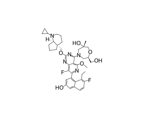 CCc1c(F)ccc2cc(O)cc(-c3nc(OC)c4c(N5C[C@H](CO)OC[C@@](C)(O)C5)nc(OC[C@]56CCC[C@H]5N(C5CC5)CCC6)nc4c3F)c12